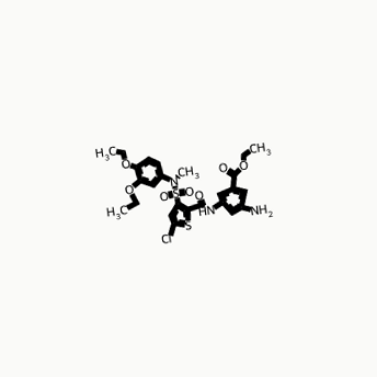 CCOC(=O)c1cc(N)cc(NC(=O)c2sc(Cl)cc2S(=O)(=O)N(C)c2ccc(OCC)c(OCC)c2)c1